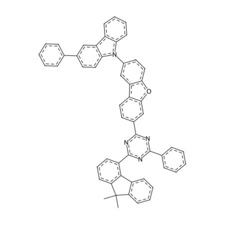 CC1(C)c2ccccc2-c2c(-c3nc(-c4ccccc4)nc(-c4ccc5c(c4)oc4ccc(-n6c7ccccc7c7cc(-c8ccccc8)ccc76)cc45)n3)cccc21